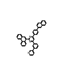 c1cncc(-c2cccc(-c3cc(-c4ccc(-c5ccc6ccccc6c5)cc4)nc(-c4cc5ccccc5c5ccccc45)n3)c2)c1